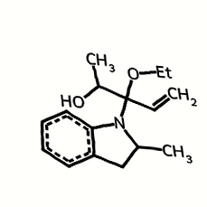 C=CC(OCC)(C(C)O)N1c2ccccc2CC1C